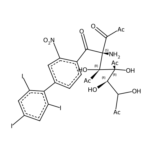 CC(=O)C(=O)[C@@](N)(C(=O)c1ccc(-c2c(I)cc(I)cc2I)cc1[N+](=O)[O-])[C@](O)(C(C)=O)[C@@](O)(C(C)=O)[C@H](O)C(O)C(C)=O